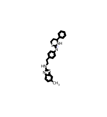 Cc1ccc2nc(NCCc3ccc(/N=C4/NC(c5ccccc5)CCS4)cc3)sc2c1